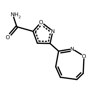 NC(=O)c1cc(C2=NOC=CC=C2)no1